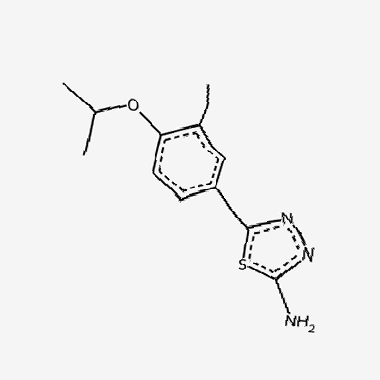 Cc1cc(-c2nnc(N)s2)ccc1OC(C)C